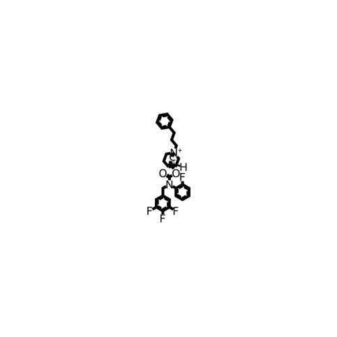 O=C(O[C@H]1C[N+]2(CCCc3ccccc3)CCC1CC2)N(Cc1cc(F)c(F)c(F)c1)c1ccccc1F